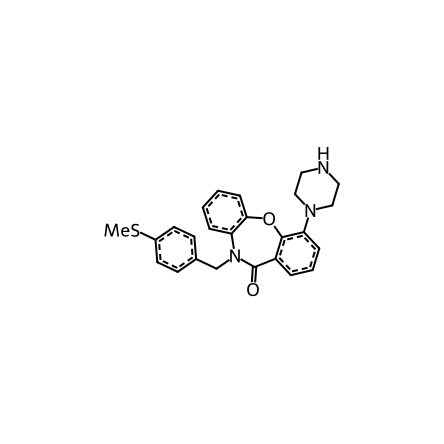 CSc1ccc(CN2C(=O)c3cccc(N4CCNCC4)c3Oc3ccccc32)cc1